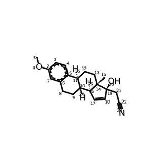 COc1ccc2c(c1)CC[C@@H]1[C@@H]2CC[C@@]2(C)[C@H]1C=C[C@@]2(O)CC#N